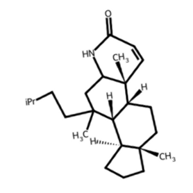 CC(C)CCC1(C)CC2NC(=O)C=C[C@]2(C)[C@@H]2CC[C@]3(C)CCC[C@H]3[C@@H]21